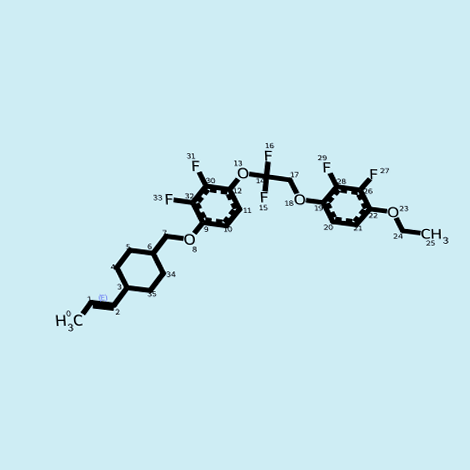 C/C=C/C1CCC(COc2ccc(OC(F)(F)COc3ccc(OCC)c(F)c3F)c(F)c2F)CC1